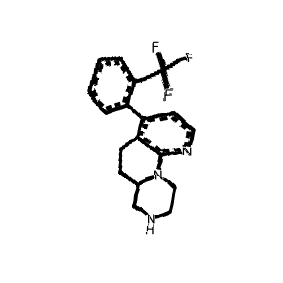 FC(F)(F)c1ccccc1-c1ccnc2c1CCC1CNCCN21